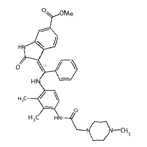 COC(=O)c1ccc2c(c1)NC(=O)/C2=C(\Nc1ccc(NC(=O)CN2CCN(C)CC2)c(C)c1C)c1ccccc1